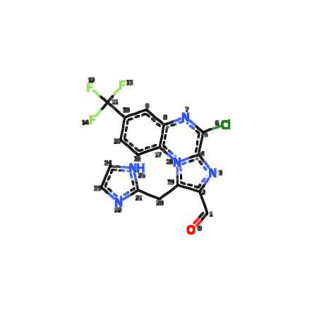 O=Cc1nc2c(Cl)nc3cc(C(F)(F)F)ccc3n2c1Cc1ncc[nH]1